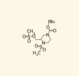 CC(C)(C)OC(=O)N1CCN(S(C)(=O)=O)C(COS(C)(=O)=O)C1